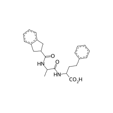 CC(NC(=O)C1Cc2ccccc2C1)C(=O)NC(CCc1ccccc1)C(=O)O